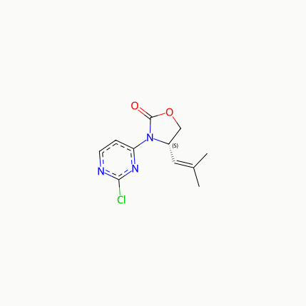 CC(C)=C[C@H]1COC(=O)N1c1ccnc(Cl)n1